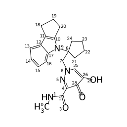 CNC(=O)c1nn(CC2(n3c4c(c5ccccc53)CCC4)CCCC2)cc(O)c1=O